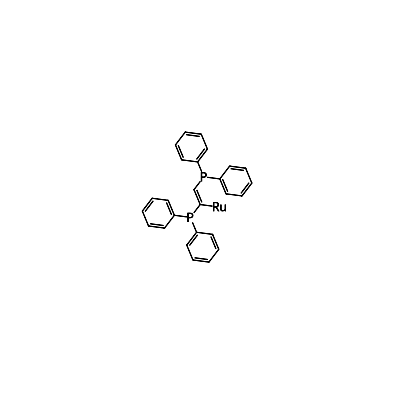 [Ru][C](=CP(c1ccccc1)c1ccccc1)P(c1ccccc1)c1ccccc1